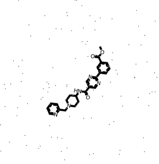 COC(=O)c1cccc(-c2ncc(C(=O)NC3CCN(Cc4ccccn4)CC3)cn2)c1